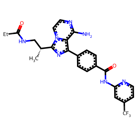 CCC(=O)NC[C@@H](C)c1nc(-c2ccc(C(=O)Nc3cc(C(F)(F)F)ccn3)cc2)c2c(N)nccn12